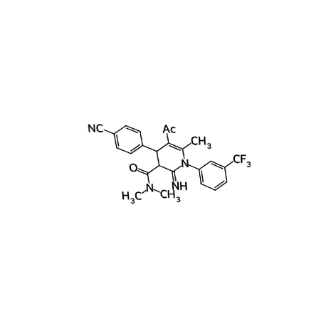 CC(=O)C1=C(C)N(c2cccc(C(F)(F)F)c2)C(=N)C(C(=O)N(C)C)C1c1ccc(C#N)cc1